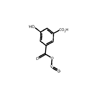 [O]=[V][O]C(=O)c1cc(O)cc(C(=O)O)c1